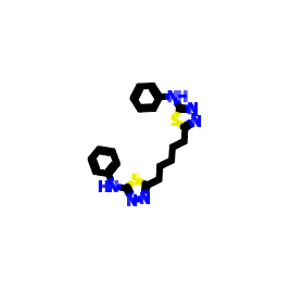 c1ccc(Nc2nnc(CCCCCc3nnc(Nc4ccccc4)s3)s2)cc1